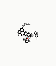 CCc1c(F)ccc2cc(OCOC)cc(-c3nc4nc(OC[C@@]56CCCN5C[C@H](F)C6)nc(N5C[C@H]6CC[C@@H](C5)N6C(=O)OC(C)(C)C)c4cc3F)c12